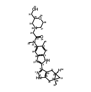 Cc1cc2[nH]c(-c3n[nH]c4c3C[C@@H]3C[C@]3(C)C4)nc2cc1N(C)C(=O)CN1CCOC(CO)C1